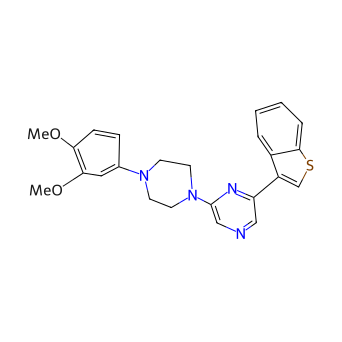 COc1ccc(N2CCN(c3cncc(-c4csc5ccccc45)n3)CC2)cc1OC